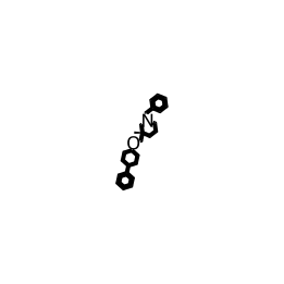 C[C@]1(COC2CCC(c3ccccc3)CC2)CCCN(Cc2ccccc2)C1